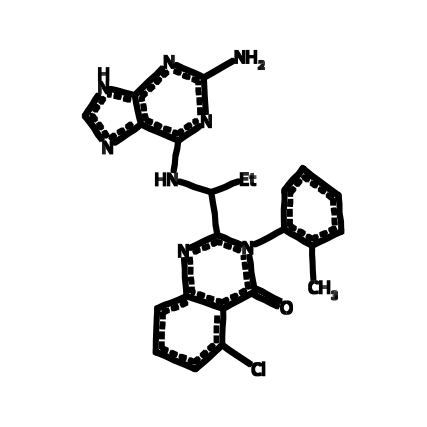 CCC(Nc1nc(N)nc2[nH]cnc12)c1nc2cccc(Cl)c2c(=O)n1-c1ccccc1C